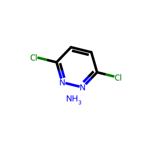 Clc1ccc(Cl)nn1.N